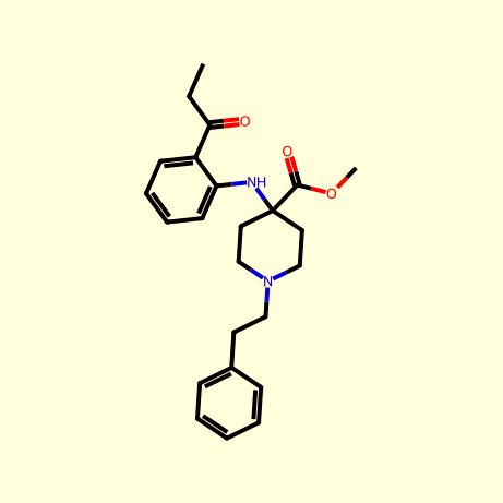 CCC(=O)c1ccccc1NC1(C(=O)OC)CCN(CCc2ccccc2)CC1